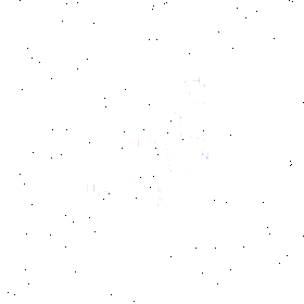 CCOC(=O)c1cnc2ccc(C)nc2c1O